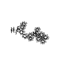 CC1(C)c2ccc(-c3cccc(-c4ccc(-c5cc(-c6cccc7c6-c6ccccc6C7(c6ccccc6)c6ccccc6)nc(-c6ccccc6)n5)c5ccccc45)c3)cc2-c2cc3ccccc3cc21